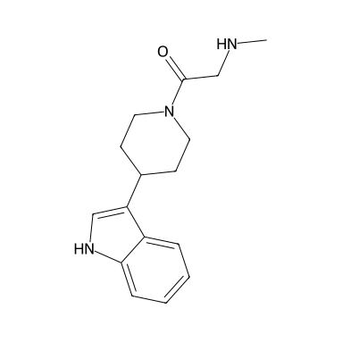 CNCC(=O)N1CCC(c2c[nH]c3ccccc23)CC1